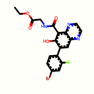 CCOC(=O)CNC(=O)c1c(O)c(-c2ccc(Br)cc2F)cc2nccnc12